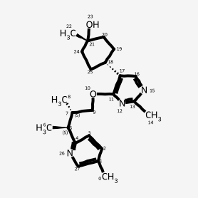 Cc1ccc([C@@H](C)[C@H](C)COc2nc(C)ncc2[C@H]2CC[C@@](C)(O)CC2)nc1